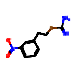 N=C(N)SCCc1cccc([N+](=O)[O-])c1